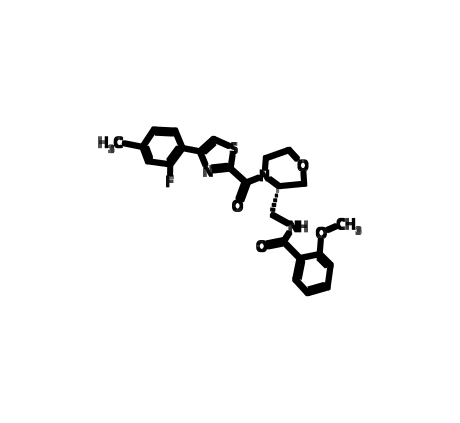 COc1ccccc1C(=O)NC[C@H]1COCCN1C(=O)c1nc(-c2ccc(C)cc2F)cs1